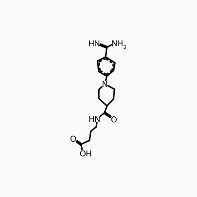 N=C(N)c1ccc(N2CCC(C(=O)NCCCC(=O)O)CC2)cc1